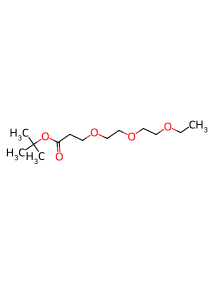 CCOCCOCCOCCC(=O)OC(C)(C)C